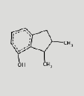 CC1Cc2cccc(O)c2C1C